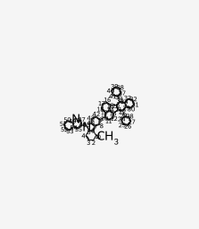 CC1CC=Cc2c1c1cc(-c3ccc4c5c(cccc35)-c3c-4c(-c4ccccc4)c4ccccc4c3-c3ccccc3)ccc1n2-c1cnc2ccccc2c1